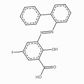 O=C(O)c1cc(F)cc(N=Nc2ccccc2-c2ccccc2)c1O